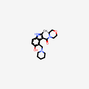 Cc1[nH]c2ccc(O)c(CN3CCCCC3)c2c1C(=O)N1CCOCC1